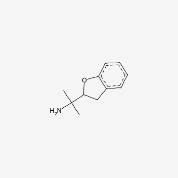 CC(C)(N)C1Cc2ccccc2O1